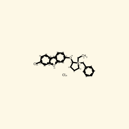 CC[N+]1(Cc2ccccc2)CCCC1Oc1ccc2c(c1)oc1cc(Cl)ccc12.[Cl-]